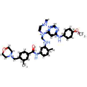 C=N/C=C\N(CNc1cc(NC(=O)c2ccc(CN3CCOCC3)c(C(F)(F)F)c2)ccc1C)c1cc(Nc2ccc(OC(F)(F)F)cc2)ncn1